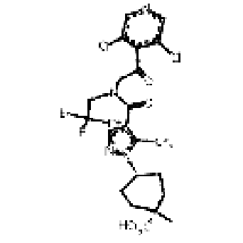 CCC(F)(CC)CN(CC(=O)c1c(Cl)cncc1Cl)C(=O)c1cnn([C@H]2CC[C@](C)(C(=O)O)CC2)c1C(F)(F)F